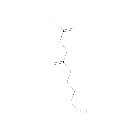 CCCCCCCCC(=O)CCC(=O)CCCCC(=O)O